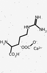 N=C(N)NCCCC(N)C(=O)O.O=C([O-])[O-].[Ca+2]